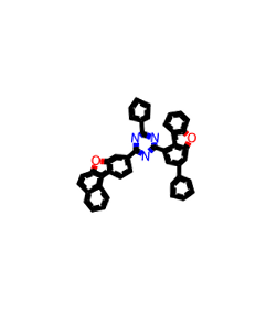 c1ccc(-c2cc(-c3nc(-c4ccccc4)nc(-c4ccc5c(c4)oc4ccc6ccccc6c45)n3)c3c(c2)oc2ccccc23)cc1